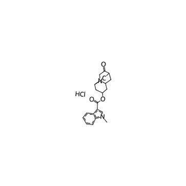 Cl.Cn1cc(C(=O)OC2CC3CC4CC(C2)N3CC4=O)c2ccccc21